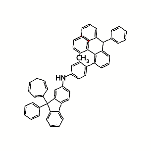 Cc1ccccc1-c1c(-c2ccc(Nc3ccc4c(c3)C(C3=CC=CCC=C3)(c3ccccc3)c3ccccc3-4)cc2)cccc1C(c1ccccc1)c1ccccc1